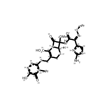 CCCO/N=C(\C(=O)NC1(OC)C(=O)N2C(C(=O)O)=C(CSc3nnc(O)c(=O)n3C(C)C)CS[C@@H]21)c1csc(N)n1